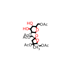 CC(=O)OCC1O[C@H](O[C@@]2(COC(C)=O)CC(C)(OC(C)=O)[C@@H](COC(C)=O)O2)C(OC(C)=O)C(O)[C@@H]1O